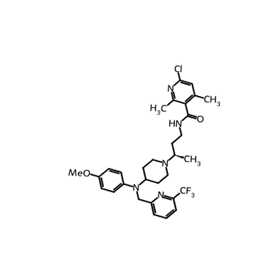 COc1ccc(N(Cc2cccc(C(F)(F)F)n2)C2CCN([C@H](C)CCNC(=O)c3c(C)cc(Cl)nc3C)CC2)cc1